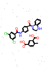 Cc1ccc(C(=O)O)cc1C(=O)O.O=C(Nc1ccc(C(=O)N2CCNc3ccccc32)cc1)c1cc(Cl)cc(Cl)c1